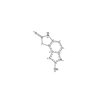 O=C1Cc2c(ccc3nc(O)sc23)N1